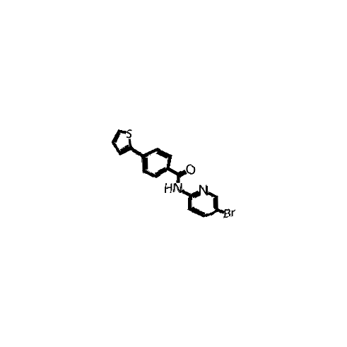 O=C(Nc1ccc(Br)cn1)c1ccc(-c2cccs2)cc1